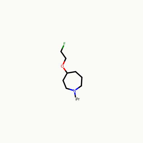 CC(C)N1CCCC(OCCF)CC1